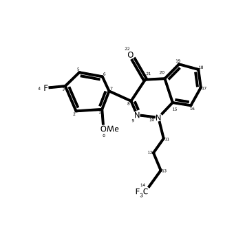 COc1cc(F)ccc1-c1nn(CCCC(F)(F)F)c2ccccc2c1=O